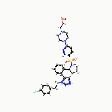 O=S(=O)(c1ccc(N2CCN(CCO)CC2)nc1)N1CCCC1c1ccccc1-c1cncn1CCc1ccc(F)cc1